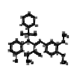 COc1ccc(C=C(C(=O)NN)N(c2cccc(Cl)c2)S(=O)(=O)c2ccccc2)cc1OC